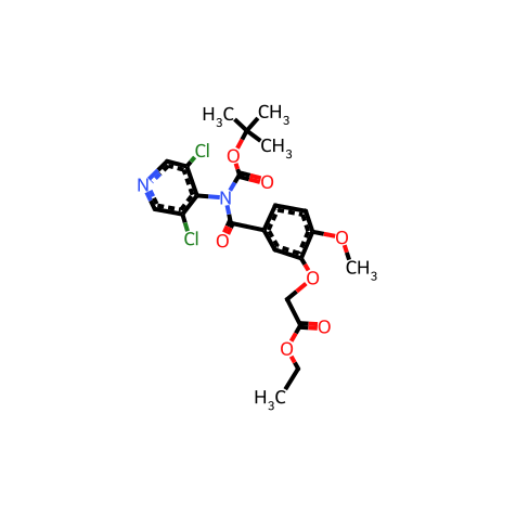 CCOC(=O)COc1cc(C(=O)N(C(=O)OC(C)(C)C)c2c(Cl)cncc2Cl)ccc1OC